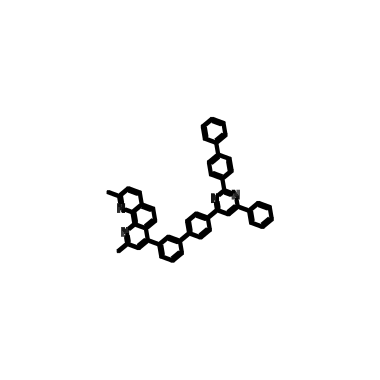 Cc1ccc2ccc3c(-c4cccc(-c5ccc(-c6cc(-c7ccccc7)nc(-c7ccc(-c8ccccc8)cc7)n6)cc5)c4)cc(C)nc3c2n1